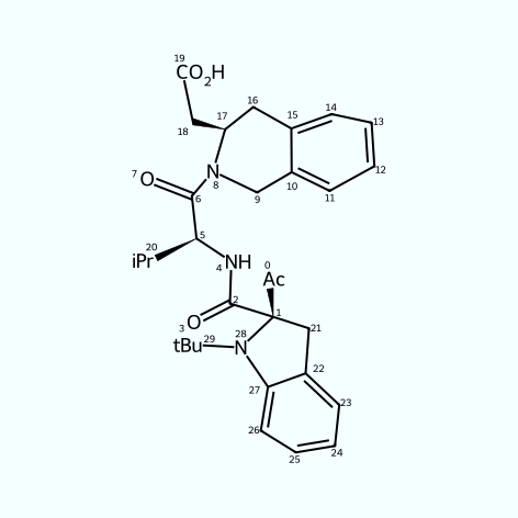 CC(=O)[C@@]1(C(=O)N[C@H](C(=O)N2Cc3ccccc3C[C@@H]2CC(=O)O)C(C)C)Cc2ccccc2N1C(C)(C)C